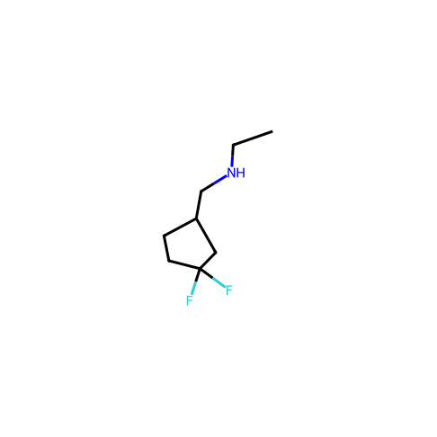 CCNCC1CCC(F)(F)C1